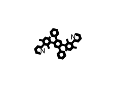 Cc1cc(C)c(-c2cc(-c3ccccc3)c(-c3c(C)cc(C)c(-c4ccccn4)c3C)cc2-c2ccccc2)c(C)c1-c1ccccn1